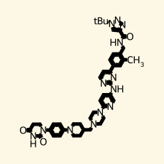 Cc1cc(-c2ccnc(Nc3ccc(N4CCN(CC5CCN(c6ccc(N7CCC(=O)NC7=O)cc6)CC5)CC4)nc3)n2)ccc1CNC(=O)c1cn(C(C)(C)C)nn1